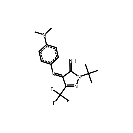 CN(C)c1ccc(N=C2C(=N)N(C(C)(C)C)N=C2C(F)(F)F)cc1